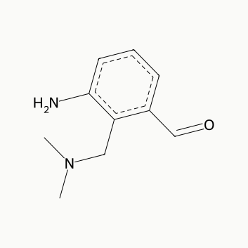 CN(C)Cc1c(N)cccc1C=O